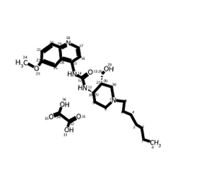 CCCCCCCN1CC[C@H](NC(=O)Nc2ccnc3ccc(OC)cc23)[C@H](CO)C1.O=C(O)C(=O)O